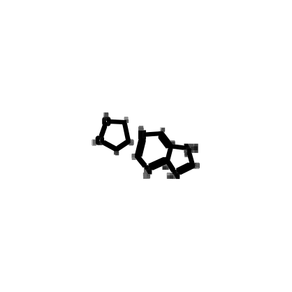 C1COOC1.c1ncc2[nH]cnc2n1